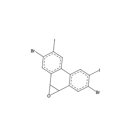 Brc1cc2c(cc1I)-c1cc(I)c(Br)cc1C1OC21